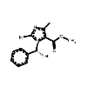 COC(=O)c1c(I)nc(Br)n1[C@H](C)c1ccccc1